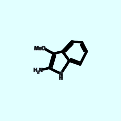 COc1c(N)[nH]c2ccccc12